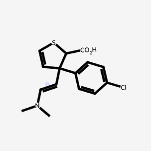 CN(C)/C=C/C1(c2ccc(Cl)cc2)C=CSC1C(=O)O